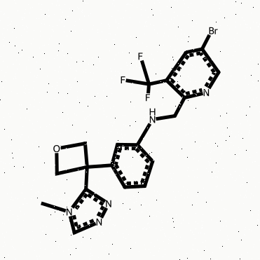 Cn1cnnc1C1(c2cccc(NCc3ncc(Br)cc3C(F)(F)F)c2)COC1